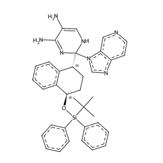 CC(C)(C)[Si](O[C@@H]1CC[C@@H](C2(n3cnc4ccncc43)N=C(N)C(N)=CN2)c2ccccc21)(c1ccccc1)c1ccccc1